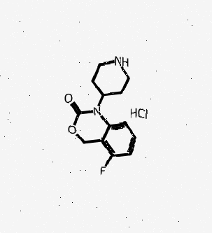 Cl.O=C1OCc2c(F)cccc2N1C1CCNCC1